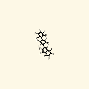 Cc1c(F)c(F)c(-c2c(F)c(F)c(-c3c(F)c(F)c4c(F)c(F)c(F)c(F)c4c3F)c(F)c2F)c(F)c1F